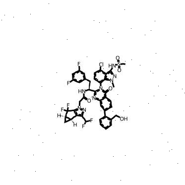 Cn1nc(NS(C)(=O)=O)c2c(Cl)ccc(-n3c([C@H](Cc4cc(F)cc(F)c4)NC(=O)Cn4nc(C(F)F)c5c4C(F)(F)[C@@H]4C[C@H]54)nc4cc(-c5ccccc5CO)ccc4c3=O)c21